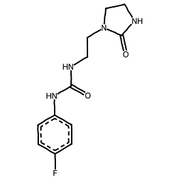 O=C(NCCN1CCNC1=O)Nc1ccc(F)cc1